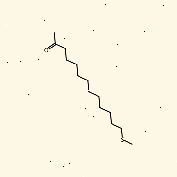 CSCCCCCCCCCCCC(C)=O